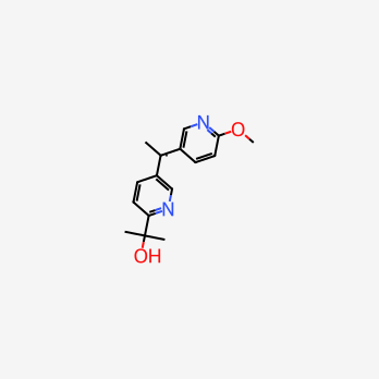 COc1ccc([C](C)c2ccc(C(C)(C)O)nc2)cn1